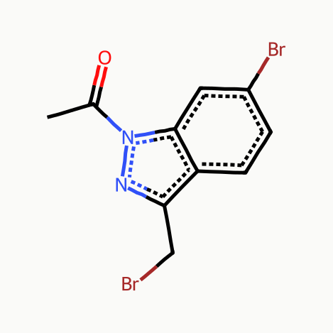 CC(=O)n1nc(CBr)c2ccc(Br)cc21